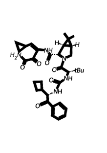 CC(C)(C)[C@H](NC(=O)N[C@H](C(=O)c1ccccc1)C1CCC1)C(=O)N1C[C@H]2[C@@H]([C@H]1C(=O)N/C(=C/C1CC1)C(=O)C(N)=O)C2(C)C